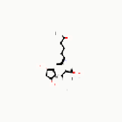 CCCCC[C@](C)(O)CC(C)[C@@H]1[C@@H](C/C=C\CCCC(=O)C(C)C)[C@@H](O)C[C@H]1O